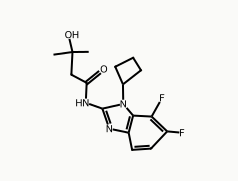 CC(C)(O)CC(=O)Nc1nc2ccc(F)c(F)c2n1C1CCC1